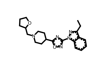 CCc1nn(-c2noc(C3CCN(CC4CCCO4)CC3)n2)c2ccccc12